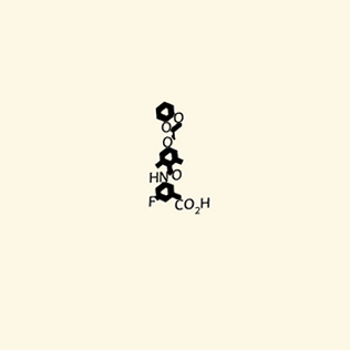 Cc1cc(OC[C@@H]2COc3ccccc3O2)cc(C)c1C(=O)Nc1cc(F)cc(CC(=O)O)c1